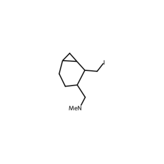 CNCC1CCC2CC2C1CI